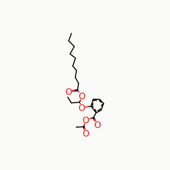 CCCCCCCCCC(=O)OC(CC)Oc1ccccc1C(=O)OC(C)=O